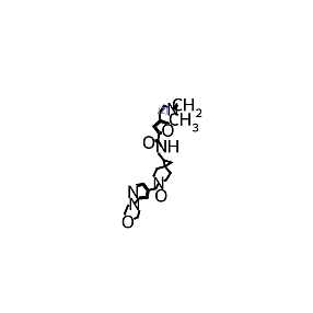 C=N/C=C\c1cc(C(=O)NCC2CC23CCN(C(=O)c2ccnc(N4CCOCC4)c2)CC3)oc1C